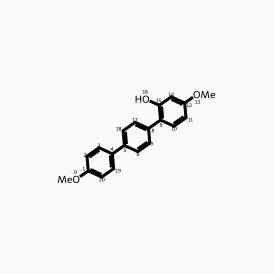 COc1ccc(-c2ccc(-c3ccc(OC)cc3O)cc2)cc1